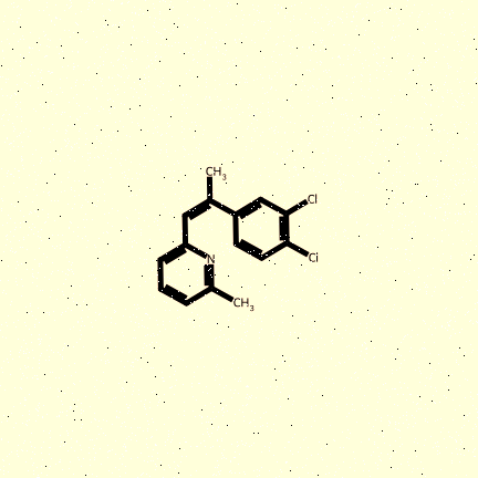 CC(=Cc1cccc(C)n1)c1ccc(Cl)c(Cl)c1